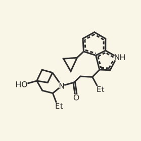 CCC(CC(=O)N1C(CC)CC2(O)CC1C2)c1c[nH]c2cccc(C3CC3)c12